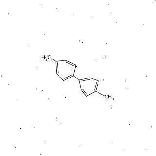 Cc1ccc(-c2ccc(C)cc2)cc1